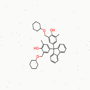 Cc1cc(C2(c3cc(C)c(O)c(COC4CCCCC4)c3)c3ccccc3-c3ccccc32)cc(COC2CCCCC2)c1O